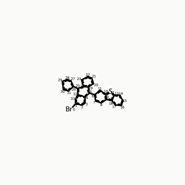 Brc1ccc2c(-c3ccc4c(c3)sc3ccccc34)c3ccccc3c(-c3ccccc3)c2c1